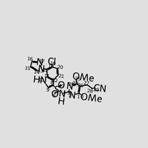 COc1nc(NS(=O)(=O)c2c[nH]c3c(-n4cccn4)c(Cl)ccc23)nc(OC)c1CCC#N